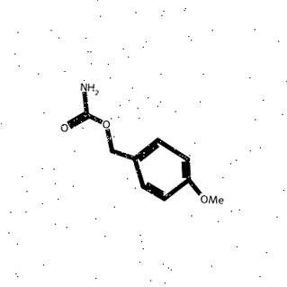 COc1ccc(COC(N)=O)cc1